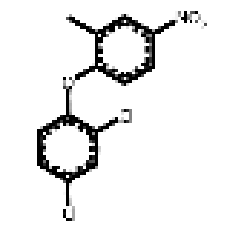 Cc1cc([N+](=O)[O-])ccc1Oc1ccc(Cl)cc1Cl